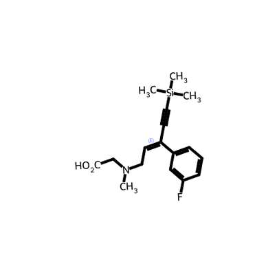 CN(C/C=C(/C#C[Si](C)(C)C)c1cccc(F)c1)CC(=O)O